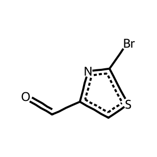 O=Cc1csc(Br)n1